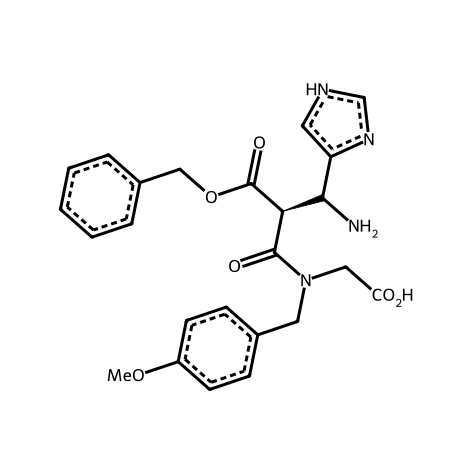 COc1ccc(CN(CC(=O)O)C(=O)[C@@H](C(=O)OCc2ccccc2)C(N)c2c[nH]cn2)cc1